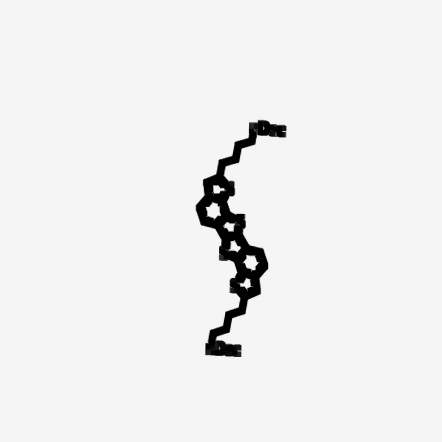 CCCCCCCCCCCCCCc1cc2ccc3c(sc4c5ccc6cc(CCCCCCCCCCCCCC)sc6c5sc34)c2s1